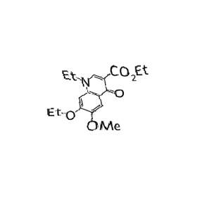 CCOC(=O)c1cn(CC)c2cc(OCC)c(OC)cc2c1=O